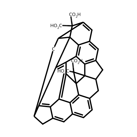 O=C(O)C1(C(=O)O)C2=Cc3cc4c5c6c3C13c1c-6c6c7c8c(cc9ccc%10c(c97)C67C(C(=O)O)(C(=O)O)C57C(C4)C%10)CC(CC23)c18